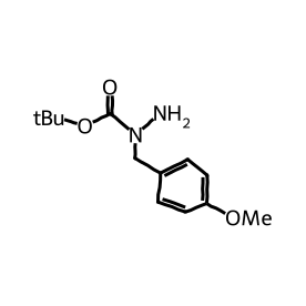 COc1ccc(CN(N)C(=O)OC(C)(C)C)cc1